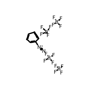 F[B-](F)(F)F.F[B-](F)(F)F.F[B-](F)(F)F.F[B-](F)(F)F.N#[N+]c1ccccc1